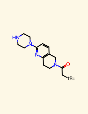 CC(C)(C)CC(=O)N1CCc2nc(N3CCNCC3)ccc2C1